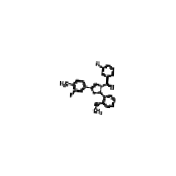 COc1ccccc1C1CC(c2ccc(C)c(F)c2)=CC1C(=O)c1cccc(F)c1